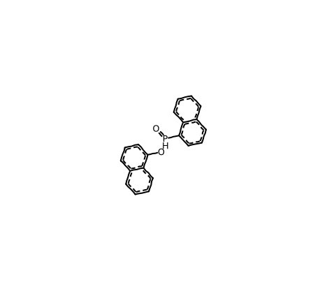 O=[PH](Oc1cccc2ccccc12)c1cccc2ccccc12